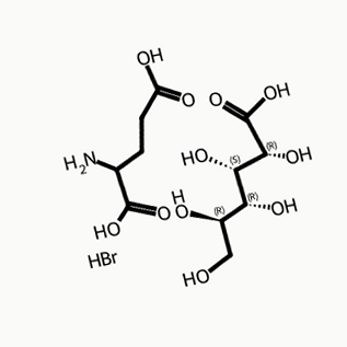 Br.NC(CCC(=O)O)C(=O)O.O=C(O)[C@H](O)[C@@H](O)[C@H](O)[C@H](O)CO